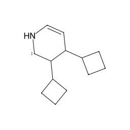 [C]1NC=CC(C2CCC2)C1C1CCC1